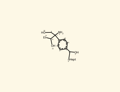 CCCCCCCC(O)c1ccc(C(N)(CO)C(O)CC)cc1